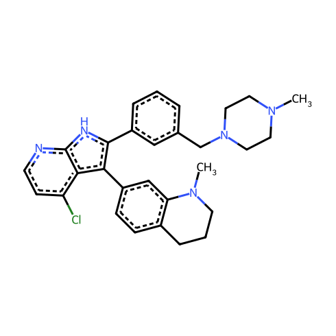 CN1CCN(Cc2cccc(-c3[nH]c4nccc(Cl)c4c3-c3ccc4c(c3)N(C)CCC4)c2)CC1